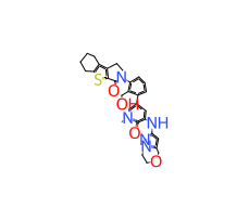 Cn1cc(-c2cccc(N3CCc4c(sc5c4CCCC5)C3=O)c2CO)cc(Nc2cc3n(n2)CCOC3)c1=O